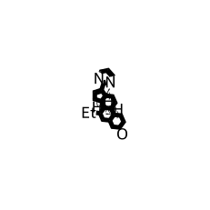 CCC1CC2CC(=O)CC[C@]2(C)[C@@H]2CC[C@]3(C)C(c4ncccn4)=CC[C@H]3[C@H]12